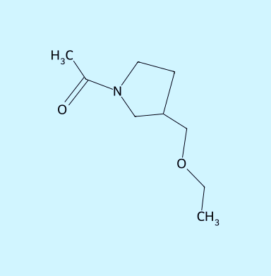 CCOCC1CCN(C(C)=O)C1